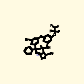 CC(C)C1CS/C(=N/C(C)(c2ccccc2)c2cc(Br)cc(Br)c2)N1C(=S)Nc1cccc(OC(F)(F)C(F)F)c1